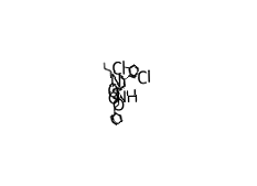 CCCCn1cc(-c2cc(Cl)ccc2Cl)cc(NC(=O)OCc2ccccc2)c1=O